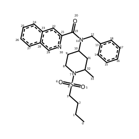 CCCCS(=O)(=O)N1CCC(N(Cc2ccccc2)C(=O)c2cc3ccccc3cn2)CC1C